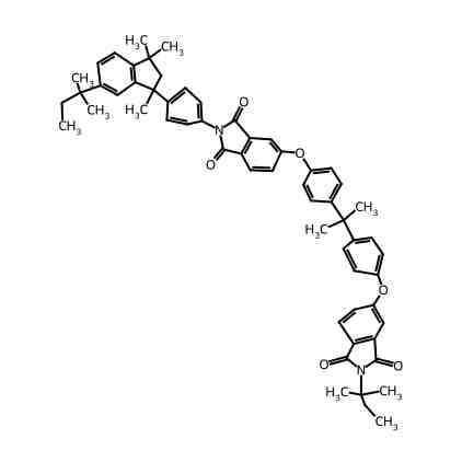 CCC(C)(C)c1ccc2c(c1)C(C)(c1ccc(N3C(=O)c4ccc(Oc5ccc(C(C)(C)c6ccc(Oc7ccc8c(c7)C(=O)N(C(C)(C)CC)C8=O)cc6)cc5)cc4C3=O)cc1)CC2(C)C